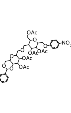 CC(=O)OCC1OC(COc2ccc([N+](=O)[O-])cc2)C(OC(C)=O)C(OC(C)=O)C1COCC1OC2COC(c3ccccc3)OC2C(OC(C)=O)C1OC(C)=O